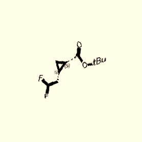 CC(C)(C)OC(=O)[C@H]1C[C@H]1CC(F)F